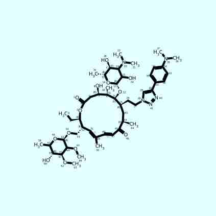 CC[C@H]1OC(=O)C[C@@H](O)[C@H](C)[C@@H](O[C@@H]2O[C@H](C)[C@@H](O)C(N(C)C)C2O)[C@@H](CCn2cc(-c3ccc(N(C)C)cc3)nn2)C[C@@H](C)C(=O)/C=C/C(C)=C/[C@@H]1CO[C@@H]1OC(C)[C@@H](O)[C@H](OC)C1OC